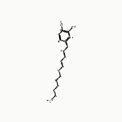 NCCCCCCCCCCCc1ccc(Cl)c(Cl)c1